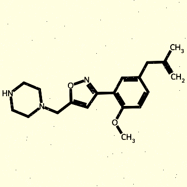 C=C(C)Cc1ccc(OC)c(-c2cc(CN3CCNCC3)on2)c1